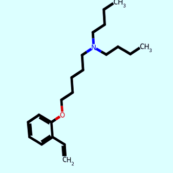 C=Cc1ccccc1OCCCCCN(CCCC)CCCC